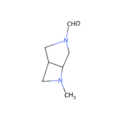 CN1CC2CN(C=O)CC21